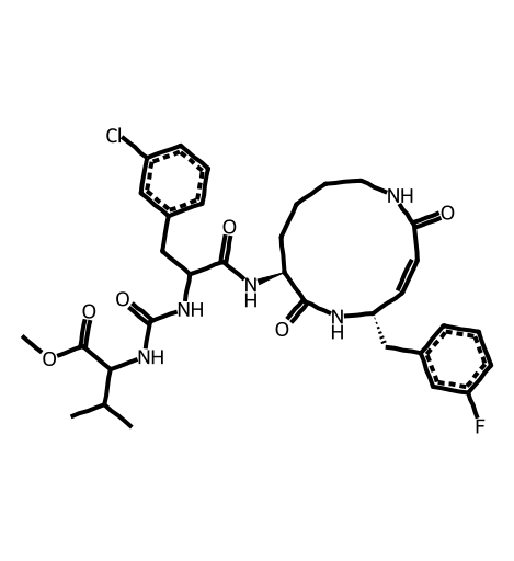 COC(=O)C(NC(=O)NC(Cc1cccc(Cl)c1)C(=O)N[C@H]1CCCCNC(=O)C=C[C@H](Cc2cccc(F)c2)NC1=O)C(C)C